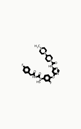 CN1CCN(C2CCN(C(=O)Nc3cc(Oc4ccc(N(S)C(=O)NC(=O)Cc5ccc(F)cc5)cc4F)ncn3)CC2)CC1